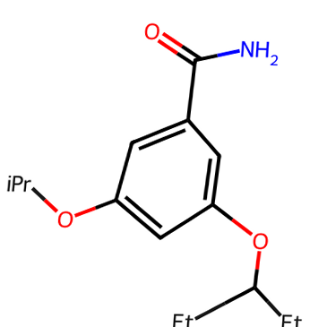 CCC(CC)Oc1cc(OC(C)C)cc(C(N)=O)c1